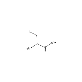 CCCNC(CI)CCC